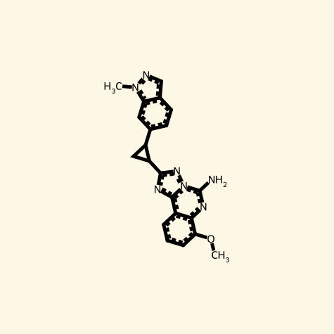 COc1cccc2c1nc(N)n1nc(C3CC3c3ccc4cnn(C)c4c3)nc21